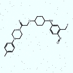 Cc1ccc(N2CCN(C(=S)COC3CCC(Nc4ccc(N=O)c(CF)c4)CC3)CC2)cc1